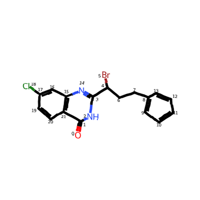 O=c1[nH]c(C(Br)CCc2ccccc2)nc2cc(Cl)ccc12